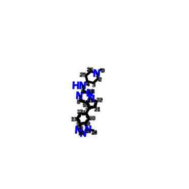 CN1CCC(Nc2ncc3c(-c4ccc5nnn(C)c5c4)ccn3n2)CC1